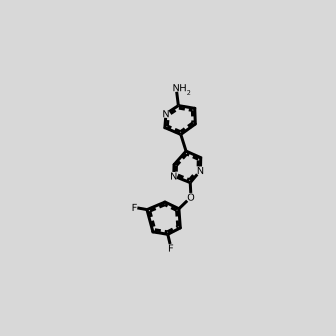 Nc1ccc(-c2cnc(Oc3cc(F)cc(F)c3)nc2)cn1